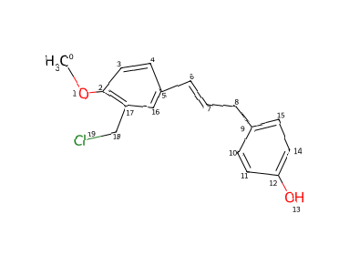 COc1ccc(/C=C/Cc2ccc(O)cc2)cc1CCl